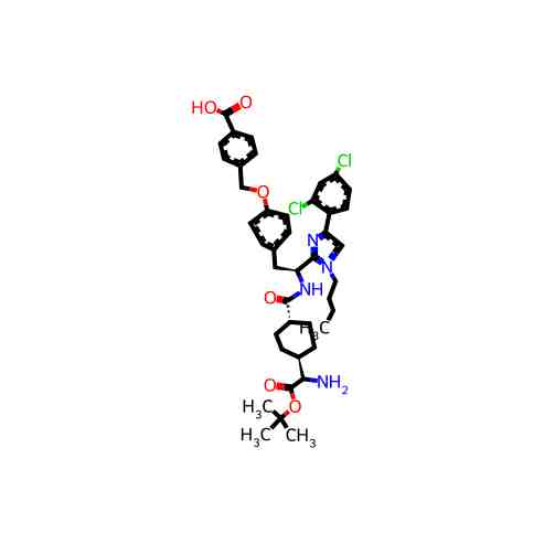 CCCCn1cc(-c2ccc(Cl)cc2Cl)nc1[C@H](Cc1ccc(OCc2ccc(C(=O)O)cc2)cc1)NC(=O)[C@H]1CC[C@H](C(N)C(=O)OC(C)(C)C)CC1